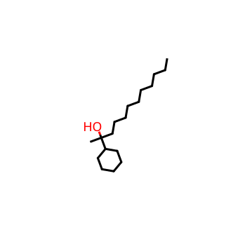 CCCCCCCCCCC(C)(O)C1CCCCC1